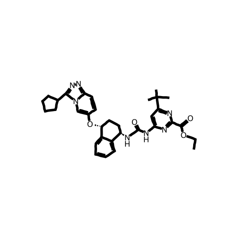 CCOC(=O)c1nc(NC(=O)N[C@H]2CC[C@@H](Oc3ccc4nnc(C5CCCC5)n4c3)c3ccccc32)cc(C(C)(C)C)n1